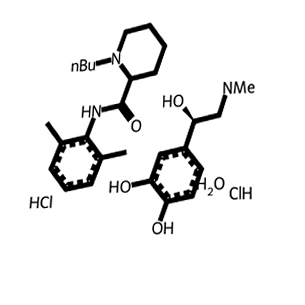 CCCCN1CCCCC1C(=O)Nc1c(C)cccc1C.CNC[C@H](O)c1ccc(O)c(O)c1.Cl.Cl.O